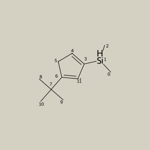 C[SiH](C)C1=CCC(C(C)(C)C)=[C]1